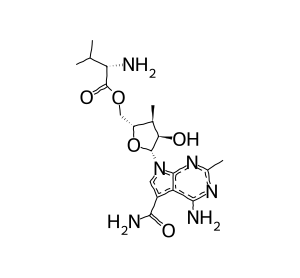 Cc1nc(N)c2c(C(N)=O)cn([C@@H]3O[C@H](COC(=O)[C@@H](N)C(C)C)[C@@H](C)[C@H]3O)c2n1